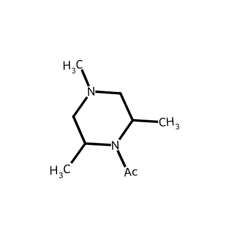 CC(=O)N1C(C)CN(C)CC1C